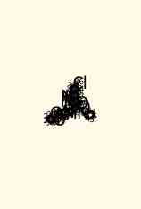 O=C(Nc1ccccc1)[C@@H]1C[C@H](N2CCN(S(=O)(=O)c3ccccc3)CC2)CN1C(=O)C=Cc1cc(Cl)ccc1-n1cnnn1